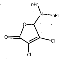 CCCN(CCC)C1OC(=O)C(Cl)=C1Cl